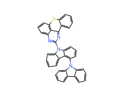 c1ccc2c(c1)Sc1cccc3nc(-n4c5ccccc5c5c(-n6c7ccccc7c7ccccc76)cccc54)nc-2c13